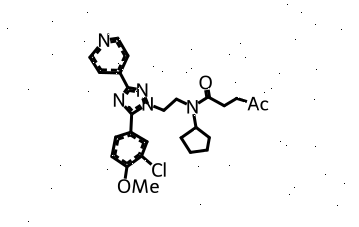 COc1ccc(-c2nc(-c3ccncc3)nn2CCN(C(=O)CCC(C)=O)C2CCCC2)cc1Cl